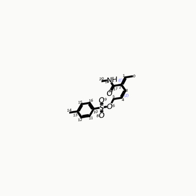 C/C=C(\C=C/COS(=O)(=O)c1ccc(C)cc1)C(=O)NC